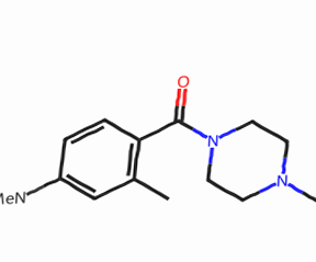 CNc1ccc(C(=O)N2CCN(C)CC2)c(C)c1